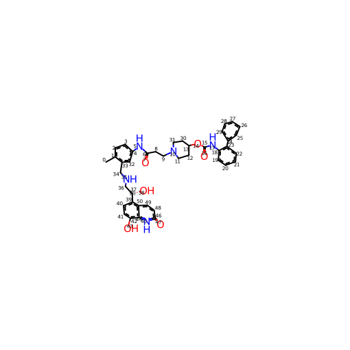 Cc1ccc(NC(=O)CCN2CCC(OC(=O)Nc3ccccc3-c3ccccc3)CC2)cc1CNC[C@H](O)c1ccc(O)c2[nH]c(=O)ccc12